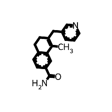 CC1=C(Cc2cccnc2)CCc2ccc(C(N)=O)cc21